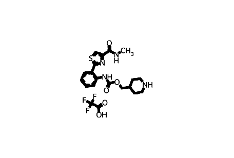 CNC(=O)c1csc(-c2ccccc2NC(=O)OCC2CCNCC2)n1.O=C(O)C(F)(F)F